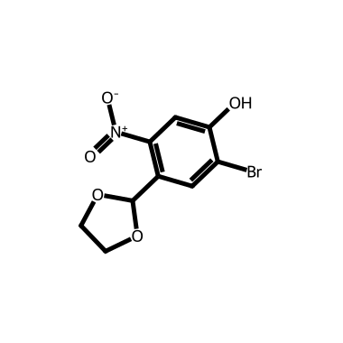 O=[N+]([O-])c1cc(O)c(Br)cc1C1OCCO1